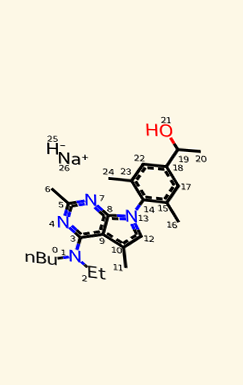 CCCCN(CC)c1nc(C)nc2c1c(C)cn2-c1c(C)cc(C(C)O)cc1C.[H-].[Na+]